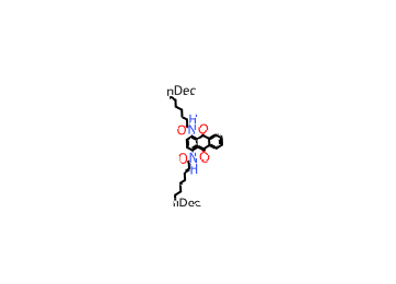 CCCCCCCCCCCCCCCCC(=O)Nc1ccc(NC(=O)CCCCCCCCCCCCCCCC)c2c1C(=O)c1ccccc1C2=O